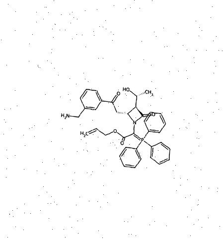 C=CCOC(=O)C(N1C(=O)[C@H]([C@@H](C)O)[C@H]1CC(=O)c1cccc(CN)c1)=P(c1ccccc1)(c1ccccc1)c1ccccc1